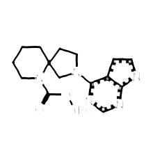 CC(C)(C)OC(=O)N1CCCCC12CCN(c1ncnc3[nH]ccc13)C2